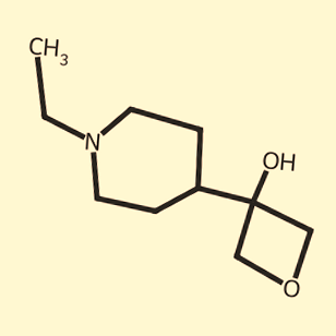 CCN1CCC(C2(O)COC2)CC1